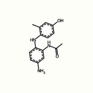 CC(=O)Nc1cc(N)ccc1Nc1ccc(O)cc1C